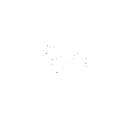 CNC(=O)c1cc(-c2ccccc2)ncn1